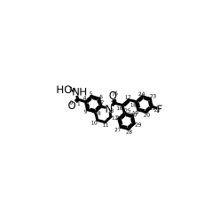 O=C(NO)c1ccc2c(c1)CCCN2C(=O)C(=Cc1ccc(F)cc1)c1ccccc1